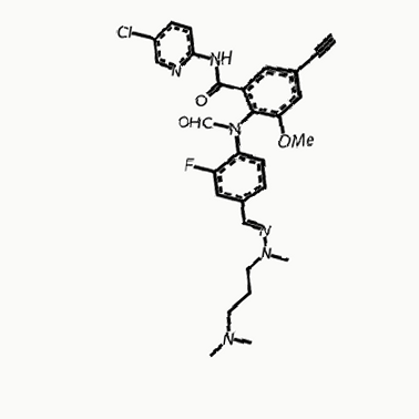 C#Cc1cc(OC)c(N(C=O)c2ccc(C=NN(C)CCCN(C)C)cc2F)c(C(=O)Nc2ccc(Cl)cn2)c1